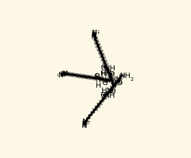 [N-]=[N+]=NCCCCCCCCCCCCCCCCCC(=O)NCCNC(=O)CCN(CCC(=O)NCCN)CCN(CCC(=O)NCCNC(=O)CCCCCCCCCCCCCCCCCN=[N+]=[N-])CCC(=O)NCCNC(=O)CCCCCCCCCCCCCCCCCN=[N+]=[N-]